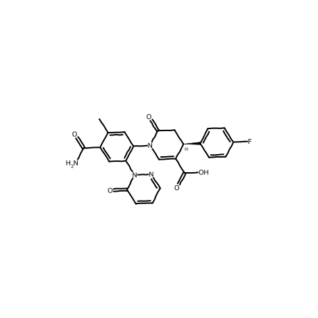 Cc1cc(N2C=C(C(=O)O)[C@H](c3ccc(F)cc3)CC2=O)c(-n2ncccc2=O)cc1C(N)=O